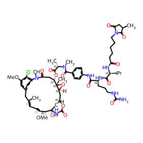 COc1cc2cc(c1Cl)N(C)C(=O)C[C@H](OC(=O)[C@H](C)N(C)C(=O)c1ccc(NC(=O)[C@H](CCCNC(N)=O)NC(=O)[C@@H](NC(=O)CCCCCN3C(=O)CC(C)C3=O)C(C)C)cc1)[C@]1(C)O[C@H]1C[C@@H]1C[C@@](O)(NC(=O)O1)[C@H](OC)/C=C/C=C(\C)C2